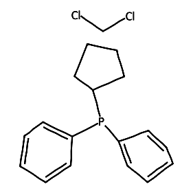 ClCCl.c1ccc(P(c2ccccc2)C2CCCC2)cc1